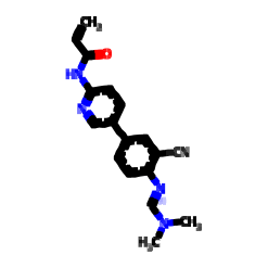 C=CC(=O)Nc1ccc(-c2ccc(/N=C/N(C)C)c(C#N)c2)cn1